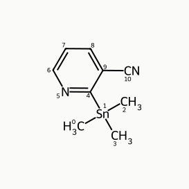 [CH3][Sn]([CH3])([CH3])[c]1ncccc1C#N